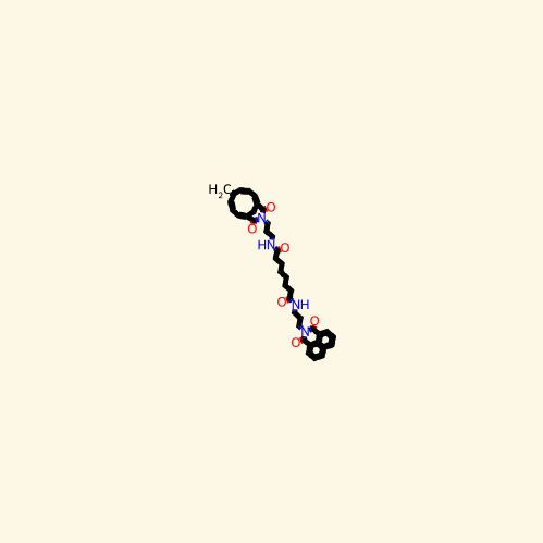 C=C1/C=C\C=C2/C/C(=C\C=C/1)C(=O)N(CCCNC(=O)CCCCCCC(=O)NCCCN1C(=O)c3cccc4cccc(c34)C1=O)C2=O